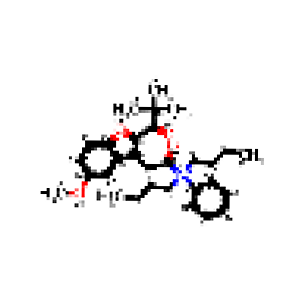 CCCC[N+](CCCC)(C(=O)Cc1c(C(=O)C(C)(C)C)oc2ccc(OC)cc12)c1ccccc1